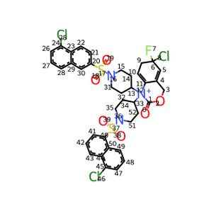 O=C1OCC2=CC(F)(Cl)CC=C2[N+]1(C1CCN(S(=O)(=O)c2ccc3c(Cl)cccc3c2)CC1)C1CCN(S(=O)(=O)c2cccc3c(Cl)cccc23)CC1